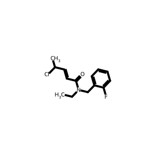 CCN(Cc1ccccc1F)C(=O)C=CC(C)Cl